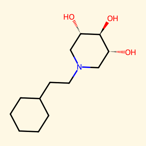 O[C@H]1[C@H](O)CN(CCC2CCCCC2)C[C@@H]1O